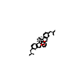 CC1=Cc2cc(CC(C)C)ccc2[CH]1[Zr]([CH3])([CH3])([CH3])(=[SiH2])([c]1ccccc1)[CH]1C(C)=Cc2cc(CC(C)C)ccc21